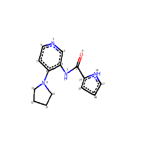 O=C(Nc1cnccc1N1CCCC1)c1ccc[nH]1